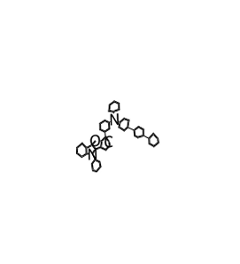 c1ccc(-c2ccc(-c3ccc(N(c4ccccc4)c4cccc(-c5cccc6c5oc5c7ccccc7n(-c7ccccc7)c65)c4)cc3)cc2)cc1